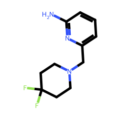 Nc1cccc(CN2CCC(F)(F)CC2)n1